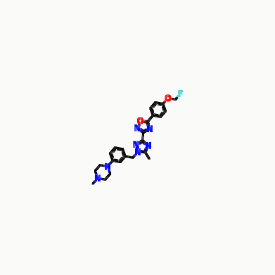 Cc1nc(-c2noc(-c3ccc(OCF)cc3)n2)nn1Cc1cccc(N2CCN(C)CC2)c1